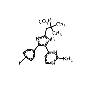 CC(C)(Cc1nc(-c2ccc(F)cc2)c(-c2ccnc(N)n2)[nH]1)C(=O)O